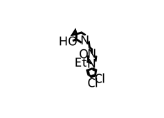 CCC1C(=O)N(CCCN2CCC3(CC3)C(O)C2)CCN1c1ccc(Cl)c(Cl)c1